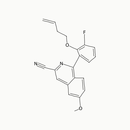 C=CCCOc1c(F)cccc1-c1nc(C#N)cc2cc(OC)ccc12